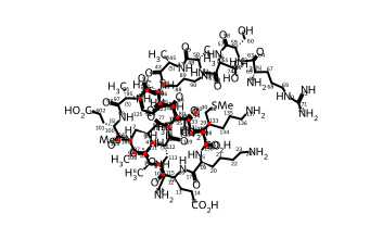 CSCC[C@H](NC(=O)[C@H](C)NC(=O)[C@H](CCC(=O)O)NC(=O)[C@H](CCCCN)NC(=O)[C@H](CCSC)NC(=O)[C@H](C)NC(=O)[C@H](C)NC(=O)[C@H](C)NC(=O)[C@H](C)NC(=O)[C@@H](NC(=O)[C@H](CO)NC(=O)[C@@H](N)CCCNC(=N)N)[C@@H](C)O)C(=O)N[C@@H](CC(=O)O)C(=O)N[C@@H](CCCCN)C(=O)N[C@@H](C)C(=O)N[C@@H](CCC(=O)O)C(=O)N[C@@H](C)C(=O)N[C@@H](CCCCN)C(=O)N[C@@H](Cc1ccccc1)C(=O)N[C@@H](CCCCN)C(=O)O